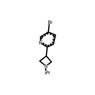 CC(C)N1CC(c2ccc(Br)cn2)C1